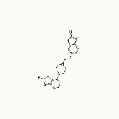 Cn1c(=O)n(C)c2cc(CCN3CCN(c4cccc5sc(F)cc45)CC3)ccc21